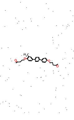 Cc1cc(-c2ccc(-c3ccc(OCCCC4CO4)cc3)cc2)ccc1OCCCC1CO1